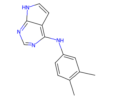 Cc1ccc(Nc2ncnc3[nH]ccc23)cc1C